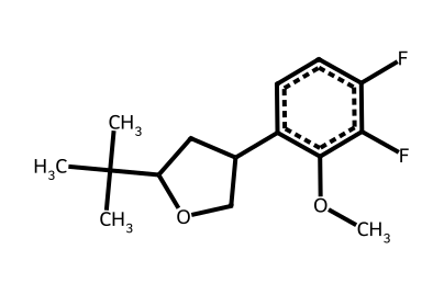 COc1c(C2COC(C(C)(C)C)C2)ccc(F)c1F